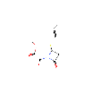 CCOC(=O)C=CSC1CC(=O)N1C(O)C(=O)OC(C)(C)C